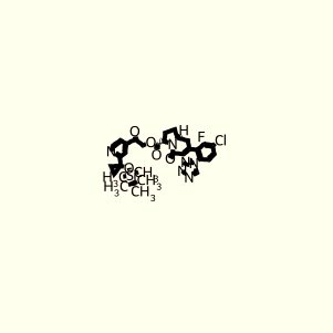 CC(C)(C)[Si](C)(C)OC1(c2cc(C(=O)COC(=O)[C@@H]3CC[C@@H]4CC(c5c(-n6cnnn6)ccc(Cl)c5F)=CC(=O)N43)ccn2)CC1